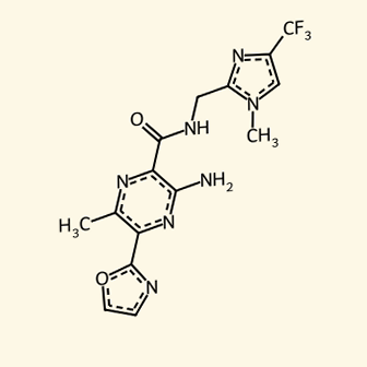 Cc1nc(C(=O)NCc2nc(C(F)(F)F)cn2C)c(N)nc1-c1ncco1